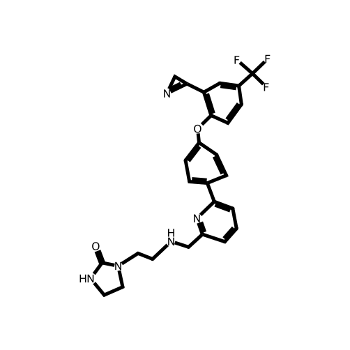 O=C1NCCN1CCNCc1cccc(-c2ccc(Oc3ccc(C(F)(F)F)cc3C3=NC3)cc2)n1